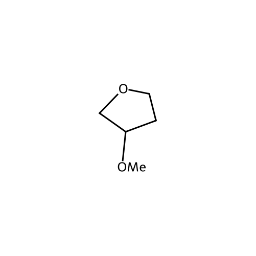 [CH2-][OH+]C1CCOC1